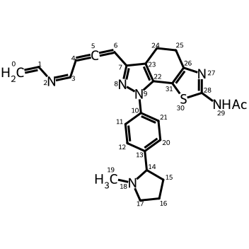 C=C/N=C\C=C=Cc1nn(-c2ccc(C3CCCN3C)cc2)c2c1CCc1nc(NC(C)=O)sc1-2